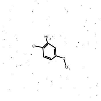 Nc1cc(OC(F)(F)F)ccc1Cl